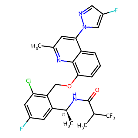 Cc1cc(-n2cc(F)cn2)c2cccc(OCc3c(Cl)cc(F)cc3[C@H](C)NC(=O)C(C)C(F)(F)F)c2n1